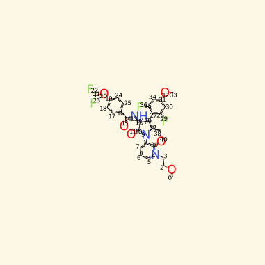 COCCn1cccc(N2C(=O)[C@@H](NC(=O)c3ccc(OC(F)F)cc3)[C@H](c3c(F)cc(OC)cc3F)[C@H]2C)c1=O